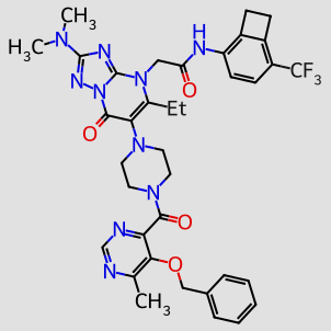 CCc1c(N2CCN(C(=O)c3ncnc(C)c3OCc3ccccc3)CC2)c(=O)n2nc(N(C)C)nc2n1CC(=O)Nc1ccc(C(F)(F)F)c2c1CC2